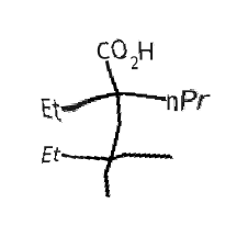 CCCC(CC)(C(=O)O)C(C)(C)CC